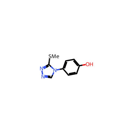 CSc1nncn1-c1ccc(O)cc1